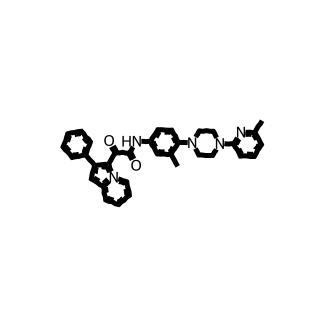 Cc1cccc(N2CCN(c3ccc(NC(=O)C(=O)c4c(-c5ccccc5)cc5ccccn45)cc3C)CC2)n1